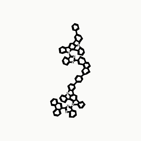 c1ccc(-c2ccc3c(c2)c2cc4c5ccccc5n(-c5nc(-c6ccc7ccc8ccc(-c9ccc(-c%10ccc%11c(c%10)c%10cc%12c%13ccccc%13n(-c%13nc(-c%14cc%15ccccc%15c%15ccccc%14%15)nc%14ccccc%13%14)c%12c%12c%13ccccc%13n%11c%10%12)cc9)cc8c7c6)nc6ccccc56)c4c4c5ccccc5n3c24)cc1